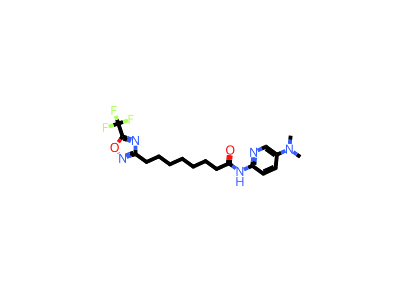 CN(C)c1ccc(NC(=O)CCCCCCCc2noc(C(F)(F)F)n2)nc1